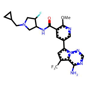 COc1ncc(-c2cc(C(F)(F)F)c3c(N)ncnn23)cc1C(=O)NC1CN(CC2CC2)CC1F